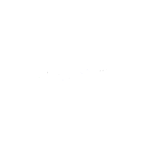 CCCCCCCC(=O)NNC(=O)c1c(O)c2ccc(Cl)cc2n(C)c1=O